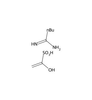 C=C(O)S(=O)(=O)O.CCCCC(=N)N